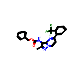 Cc1nn2ccc(-c3ccccc3C(F)(F)F)nc2c1NC(=O)OCc1ccccc1